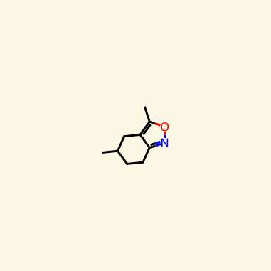 Cc1onc2c1CC(C)CC2